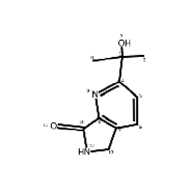 CC(C)(O)c1ccc2c(n1)C(=O)NC2